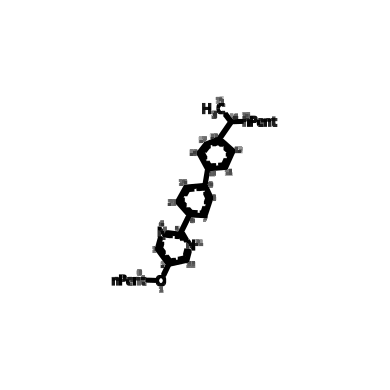 CCCCCOc1cnc(-c2ccc(-c3ccc(C(C)CCCCC)cc3)cc2)nc1